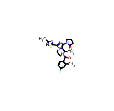 Cc1nsc(-c2nc(N3CCCC3=O)c3n2CCN(C(=O)c2ccc(F)cc2C)[C@@H]3C)n1